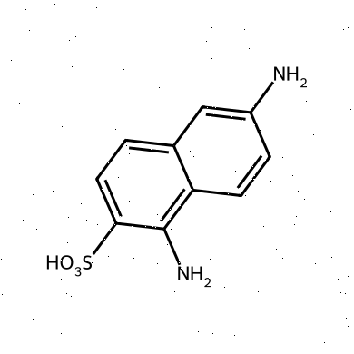 Nc1ccc2c(N)c(S(=O)(=O)O)ccc2c1